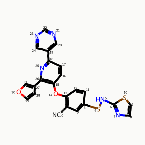 N#Cc1cc(SNc2nccs2)ccc1Oc1ccc(-c2cncnc2)nc1-c1ccoc1